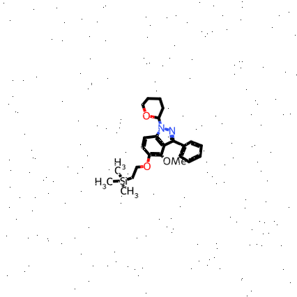 COc1c(OCC[Si](C)(C)C)ccc2c1c(-c1ccccc1)nn2C1CCCCO1